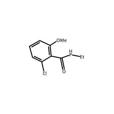 CCPC(=O)c1c(Cl)cccc1OC